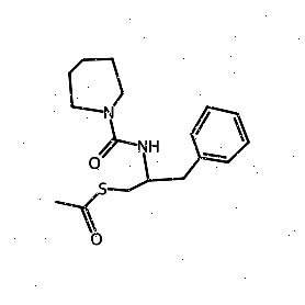 CC(=O)SCC(Cc1ccccc1)NC(=O)N1CCCCC1